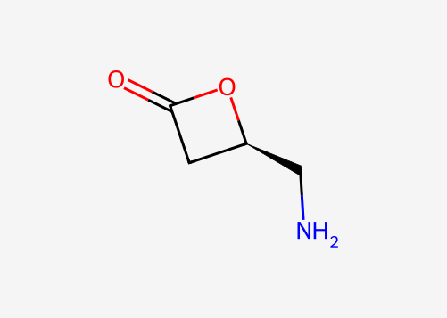 NC[C@H]1CC(=O)O1